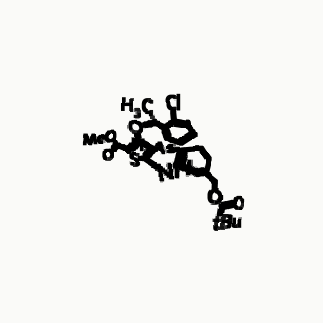 COC(=O)c1sc(Nc2cc(COC(=O)C(C)(C)C)ccc2[AsH2])cc1O[C@H](C)c1ccccc1Cl